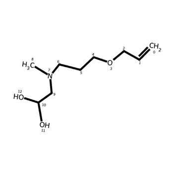 C=CCOCCCN(C)CC(O)O